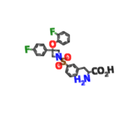 NC(Cc1cccc(S(=O)(=O)N2CC(Oc3ccccc3F)(c3ccc(F)cc3)C2)c1)C(=O)O